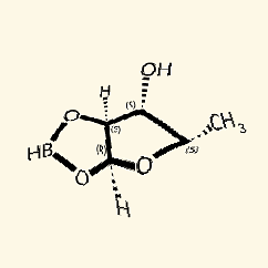 C[C@@H]1O[C@H]2OBO[C@H]2[C@@H]1O